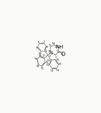 O=C1CN(C(c2ccccc2)(c2ccccc2)c2ccccc2)CCN1